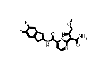 COCc1nn2c(C(=O)NC3Cc4cc(F)c(F)cc4C3)ccnc2c1C(N)=O